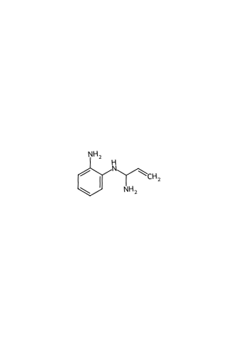 C=CC(N)Nc1ccccc1N